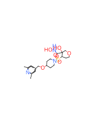 Cc1cc(COC2CCN(S(=O)(=O)C3CCOCC3(O)C(=O)NO)CC2)cc(C)n1